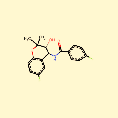 CC1(C)Oc2ccc(F)cc2[C@H](NC(=O)c2ccc(F)cc2)[C@H]1O